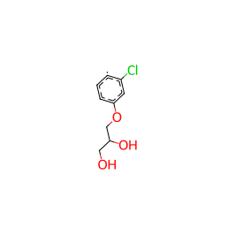 OCC(O)COc1cc[c]c(Cl)c1